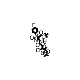 COc1nc(NC(=O)c2scc(S(=O)(=O)C(C)C)c2Cl)c(C(=O)OC(C)(C)C)n1-c1ccc(F)cc1